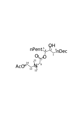 CCCCCCCCCCCC(O)C(CCCCC)OC(=O)C[N+](C)(C)CCOC(C)=O